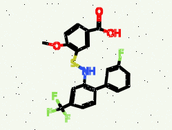 COc1ccc(C(=O)O)cc1SNc1cc(C(F)(F)F)ccc1-c1cccc(F)c1